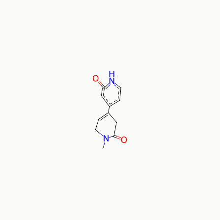 CN1CC=C(c2cc[nH]c(=O)c2)CC1=O